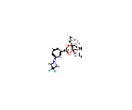 CC1(C)OB(c2cccc(N3CC(F)(F)C3)c2)OC1(C)C